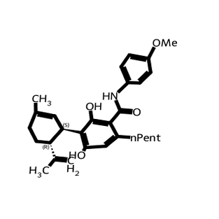 C=C(C)[C@@H]1CCC(C)=C[C@H]1c1c(O)cc(CCCCC)c(C(=O)Nc2ccc(OC)cc2)c1O